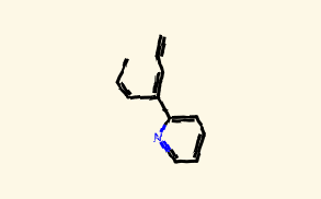 C=C/C=C(\C=C/C)c1ccccn1